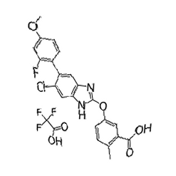 COc1ccc(-c2cc3nc(Oc4ccc(C)c(C(=O)O)c4)[nH]c3cc2Cl)c(F)c1.O=C(O)C(F)(F)F